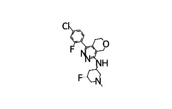 CN1C[C@H](F)C[C@@H](Nc2nnc(-c3ccc(Cl)cc3F)c3c2COCC3)C1